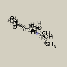 CCCC[C@](C)(O)C/C=C/[C@@H]1[C@H]2CC(CCSCC(=O)N3CCOCC3)=C[C@H]2C[C@H]1O